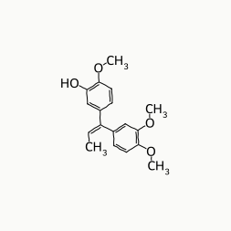 CC=C(c1ccc(OC)c(O)c1)c1ccc(OC)c(OC)c1